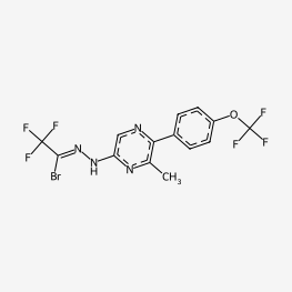 Cc1nc(NN=C(Br)C(F)(F)F)cnc1-c1ccc(OC(F)(F)F)cc1